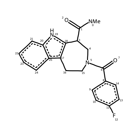 CNC(=O)C1CN(C(=O)c2ccc(F)cc2)CCc2c1[nH]c1ccccc21